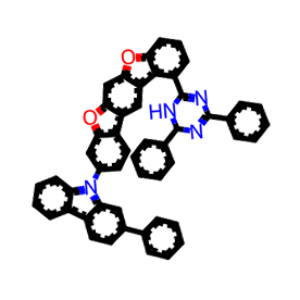 c1ccc(C2=NC(c3ccccc3)NC(c3cccc4oc5cc6oc7cc(-n8c9ccccc9c9ccc(-c%10ccccc%10)cc98)ccc7c6cc5c34)=N2)cc1